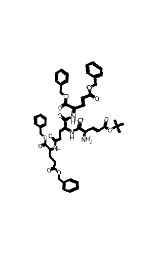 CC(C)(C)OC(=O)CCC(N)C(=O)NC(CCC(=O)NC(CCC(=O)OCc1ccccc1)C(=O)OCc1ccccc1)C(=O)NC(CCC(=O)OCc1ccccc1)C(=O)OCc1ccccc1